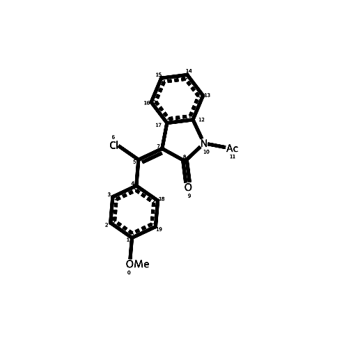 COc1ccc(/C(Cl)=C2\C(=O)N(C(C)=O)c3ccccc32)cc1